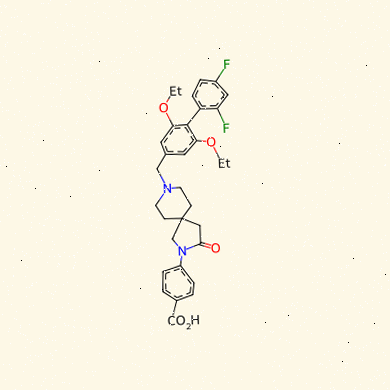 CCOc1cc(CN2CCC3(CC2)CC(=O)N(c2ccc(C(=O)O)cc2)C3)cc(OCC)c1-c1ccc(F)cc1F